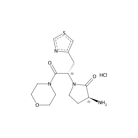 Cl.N[C@H]1CCN([C@@H](Cc2cscn2)C(=O)N2CCOCC2)C1=O